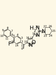 C=C(c1ccc(-c2ccccc2)c(F)c1)c1cc(C/N=C(\N)N2CCCCC2)on1